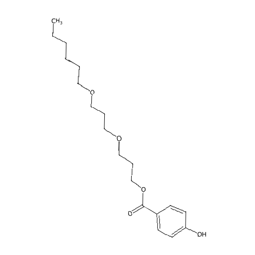 CCCCCCOCCCOCCCOC(=O)c1ccc(O)cc1